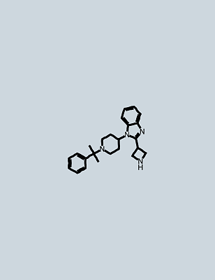 CC(C)(c1ccccc1)N1CCC(n2c(C3CNC3)nc3ccccc32)CC1